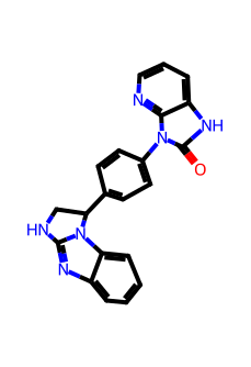 O=c1[nH]c2cccnc2n1-c1ccc(C2CNc3nc4ccccc4n32)cc1